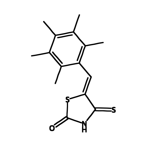 Cc1c(C)c(C)c(/C=C2\SC(=O)NC2=S)c(C)c1C